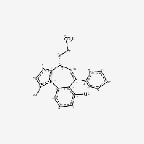 Cc1cnc2n1-c1cccc(Cl)c1C(c1ccccn1)=N[C@H]2CCC(=O)O